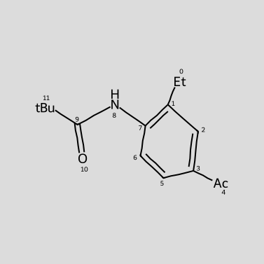 CCc1cc(C(C)=O)ccc1NC(=O)C(C)(C)C